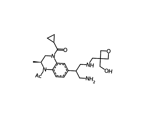 CC(=O)N1c2ccc(C(CN)CNCC3(CO)COC3)cc2N(C(=O)C2CC2)C[C@@H]1C